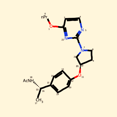 CCCOc1ccnc(N2CC[C@@H](Oc3ccc([C@H](C)NC(C)=O)cc3)C2)n1